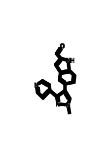 Cn1cc(-c2ccc3[nH]c(C=O)cc3c2)c(-c2ccncc2)n1